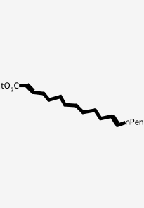 CCCCCC=CCCCCCCCCC=CC(=O)OCC